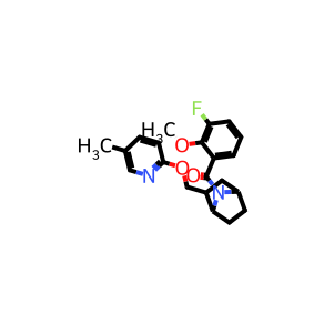 COc1c(F)cccc1C(=O)N1C2CCC1C(COc1ccc(C)cn1)C2